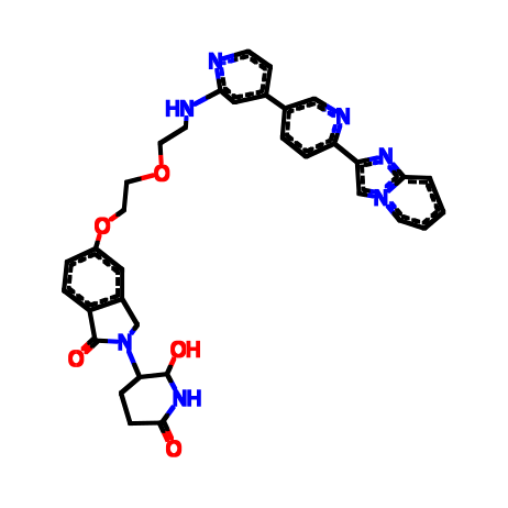 O=C1CCC(N2Cc3cc(OCCOCCNc4cc(-c5ccc(-c6cn7ccccc7n6)nc5)ccn4)ccc3C2=O)C(O)N1